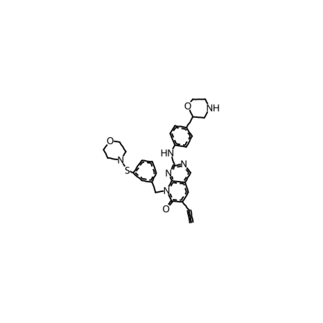 C#Cc1cc2cnc(Nc3ccc(C4CNCCO4)cc3)nc2n(Cc2cccc(SN3CCOCC3)c2)c1=O